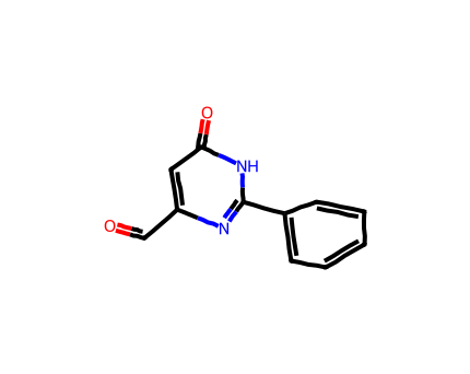 O=Cc1cc(=O)[nH]c(-c2ccccc2)n1